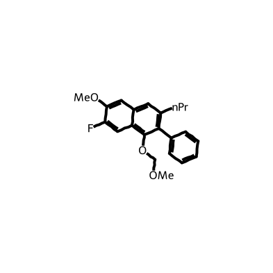 CCCc1cc2cc(OC)c(F)cc2c(OCOC)c1-c1ccccc1